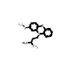 CSc1ccc2c(c1)N(CCC(C)C)c1ccccc1S2